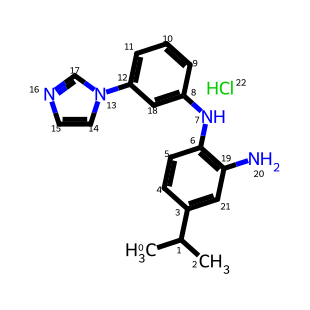 CC(C)c1ccc(Nc2cccc(-n3ccnc3)c2)c(N)c1.Cl